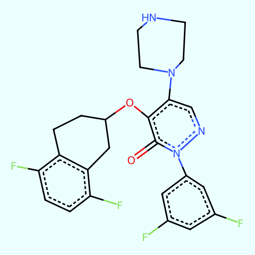 O=c1c(OC2CCc3c(F)ccc(F)c3C2)c(N2CCNCC2)cnn1-c1cc(F)cc(F)c1